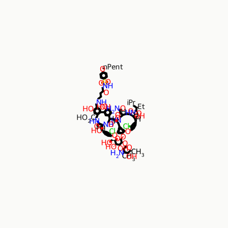 CCCCCOc1ccc(S(=O)(=O)NCC(=O)CCCNCc2c(O)cc3c(c2O)-c2cc(ccc2O)[C@H]2CC(=O)[C@@H]4NC(=O)[C@H](CC(N)=O)CC(=O)[C@H](NC(=O)[C@H](CC)CC(C)C)[C@H](O)c5ccc(c(Cl)c5)Oc5cc4cc(c5O[C@@H]4O[C@H](CO)[C@@H](O)[C@H](O)[C@H]4O[C@H]4C[C@](C)(N)[C@H](O)[C@H](C)O4)Oc4ccc(cc4Cl)[C@@H](O)[C@H](NC2=O)C(=O)N[C@@H]3C(=O)O)cc1